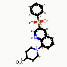 O=C(O)C1CCN(c2cccc3cc(S(=O)(=O)c4ccccc4)cnc23)CC1